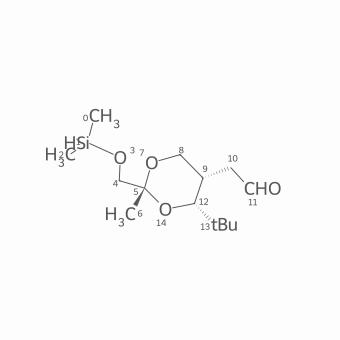 C[SiH](C)OC[C@]1(C)OC[C@H](CC=O)[C@H](C(C)(C)C)O1